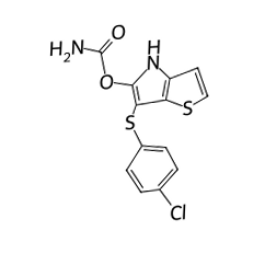 NC(=O)Oc1[nH]c2ccsc2c1Sc1ccc(Cl)cc1